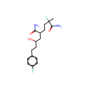 CC(F)(CCC(CC(O)[CH]Cc1ccc(F)cc1)C(N)=O)C(N)=O